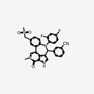 Cn1cc2c3c(c[nH]c3c1=O)C(c1cccc(C#N)c1)N(c1ccc(F)cc1F)c1ccc(CS(C)(=O)=O)cc1-2